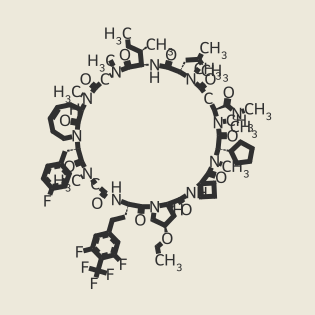 CCO[C@@H]1C[C@H]2C(=O)NC3(CCC3)C(=O)N(C)[C@@H](C3CCCC3)C(=O)N(C)[C@H](C(=O)N(C)C)CC(=O)N(C)[C@@H](CC(C)C)C(=O)N[C@@H]([C@@H](C)CC)C(=O)N(C)CC(=O)N(C)[C@H]3C/C=C\CCN(C3=O)[C@@H](Cc3ccc(F)cc3)C(=O)N(C)CC(=O)N[C@@H](CCc3cc(F)c(C(F)(F)F)c(F)c3)C(=O)N2C1